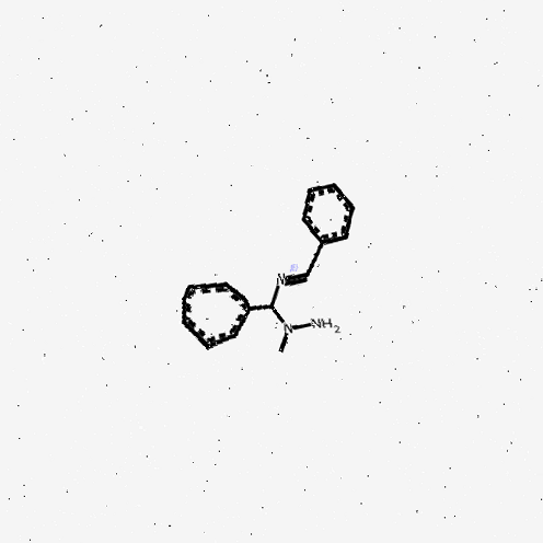 CN(N)C(/N=C/c1ccccc1)c1ccccc1